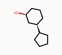 O[C@H]1CCC[C@@H](C2CCCC2)C1